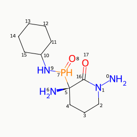 NN1CCC[C@](N)([PH](=O)NC2CCCCC2)C1=O